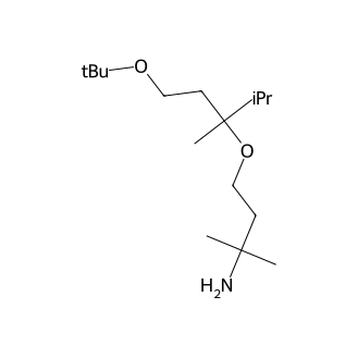 CC(C)C(C)(CCOC(C)(C)C)OCCC(C)(C)N